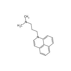 CN(C)CCCN1C=Cc2cccc3cccc1c23